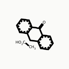 CC(=O)O.O=C1c2ccccc2Cc2ccccc21